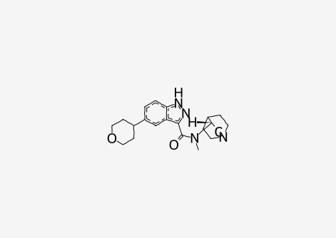 CN(C(=O)c1n[nH]c2ccc(C3CCOCC3)cc12)[C@H]1CN2CCC1CC2